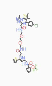 Cc1sc2c(c1C)C(c1ccc(Cl)cc1)=NC(CC(=O)NCCOCCOCCNC(=O)CCn1nc(CNC(=O)c3ccccc3OC(F)(F)F)cc1-c1cccs1)c1nnc(C)n1-2